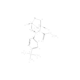 COC(=O)[C@H]1[C@@H](c2cc[c]([Sn]([CH3])([CH3])[CH3])cc2)C[C@@H]2CC[C@H]1N2C